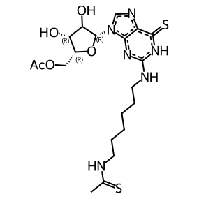 CC(=O)OC[C@H]1O[C@@H](n2cnc3c(=S)[nH]c(NCCCCCCNC(C)=S)nc32)C(O)[C@H]1O